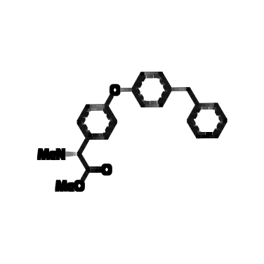 CN[C@@H](C(=O)OC)c1ccc(Oc2ccc(Cc3ccccc3)cc2)cc1